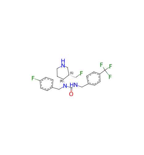 O=C(NCc1ccc(C(F)(F)F)cc1)N(Cc1ccc(F)cc1)[C@@H]1CCNC[C@@H]1CF